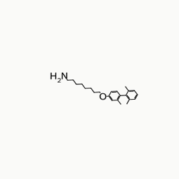 Cc1cc(OCCCCCCCCN)ccc1-c1c(C)cccc1C